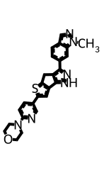 Cn1ncc2ccc(-c3n[nH]c4c3Cc3sc(-c5ccc(N6CCOCC6)nc5)cc3-4)cc21